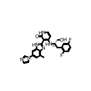 Cc1cc(-n2ccnc2)cc2[nH]c(-c3c(N[C@H](CO)Cc4cc(F)ccc4F)cc[nH]c3=O)nc12